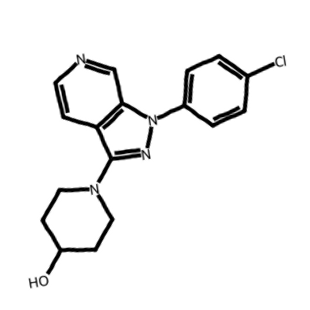 OC1CCN(c2nn(-c3ccc(Cl)cc3)c3cnccc23)CC1